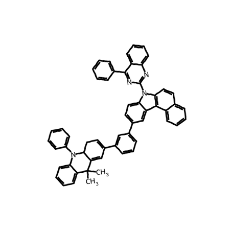 CC1(C)C2=CC(c3cccc(-c4ccc5c(c4)c4c6ccccc6ccc4n5-c4nc(-c5ccccc5)c5ccccc5n4)c3)=CCC2N(c2ccccc2)c2ccccc21